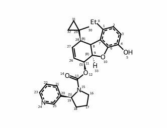 CCc1ccc(O)c2c1C1[C@@H](O2)[C@@H](OC(=O)N2CCC[C@H]2c2cccnc2)C=C[C@H]1C1(C)CC1